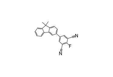 CC1(C)c2ccccc2-c2cc(-c3cc(C#N)c(F)c(C#N)c3)ccc21